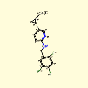 CCOC(=O)[C@@H]1C[C@H]1c1ccc(NCc2cc(Br)c(F)cc2F)nc1